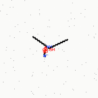 CCCCCCCCCCCCC=CC[C@@H](O)[C@H](COP(=O)([O-])OCC[N+](C)(C)C)NC(=O)CCCCCCCCCCCCC